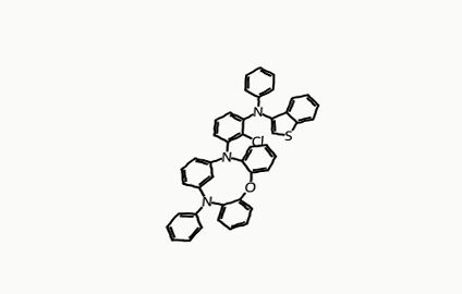 Clc1c(N2c3cccc(c3)N(c3ccccc3)c3ccccc3Oc3ccccc32)cccc1N(c1ccccc1)c1csc2ccccc12